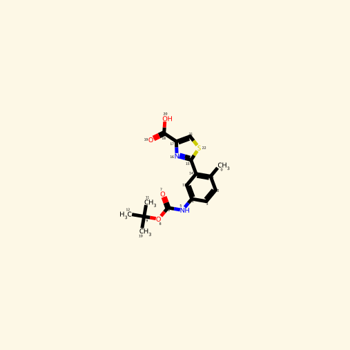 Cc1ccc(NC(=O)OC(C)(C)C)cc1-c1nc(C(=O)O)cs1